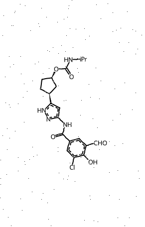 CC(C)NC(=O)O[C@@H]1CC[C@H](c2cc(NC(=O)c3cc(Cl)c(O)c(C=O)c3)n[nH]2)C1